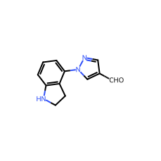 O=Cc1cnn(-c2cccc3c2CCN3)c1